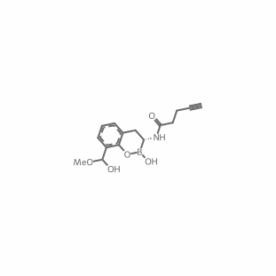 C#CCCC(=O)N[C@H]1Cc2cccc(C(O)OC)c2OB1O